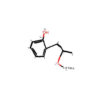 CCCCCCOC(C)Cc1ccccc1O